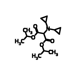 CC(C)OC(=O)C(C(=O)OC(C)C)N(C1CC1)C1CC1